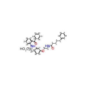 O=C(CCCCc1ccccc1)NCCOc1ccc(C[C@H](Nc2ccccc2C(=O)c2ccccc2)C(=O)O)cc1